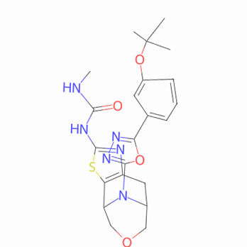 CNC(=O)Nc1nc2c(s1)C1COCC(C2)N1c1nnc(-c2cccc(OC(C)(C)C)c2)o1